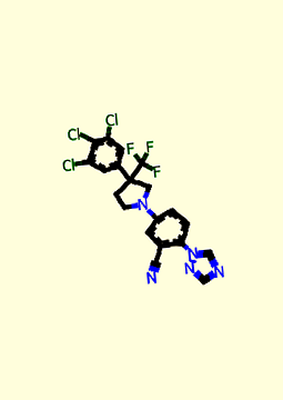 N#Cc1cc(N2CCC(c3cc(Cl)c(Cl)c(Cl)c3)(C(F)(F)F)C2)ccc1-n1cncn1